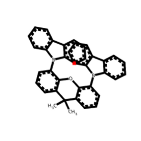 CC1(C)c2cccc(B3c4ccccc4-c4ccccc43)c2Oc2c(B3c4ccccc4-c4ccccc43)cccc21